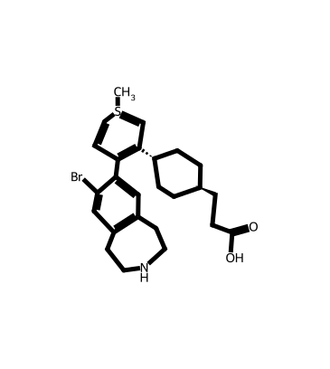 CS1=CC([C@H]2CC[C@H](CCC(=O)O)CC2)=C(c2cc3c(cc2Br)CCNCC3)C=C1